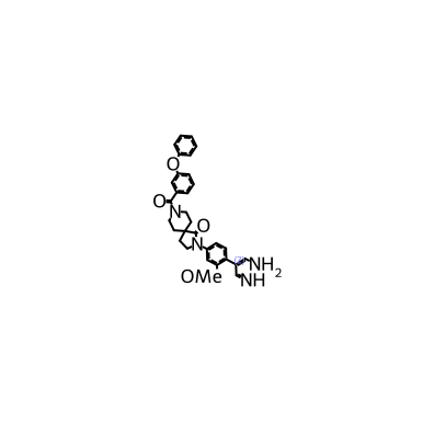 COc1cc(N2CCC3(CCN(C(=O)c4cccc(Oc5ccccc5)c4)CC3)C2=O)ccc1/C(C=N)=C/N